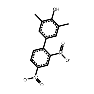 Cc1cc(-c2ccc([N+](=O)[O-])cc2[N+](=O)[O-])cc(C)c1O